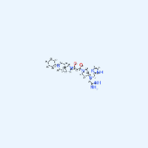 N=C(N)CN(Cc1ncc[nH]1)C1CCN(C(=O)CC(=O)N2CCC3(CCN(C4CCCCC4)CC3)C2)CC1